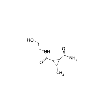 CC1C(C(N)=O)C1C(=O)NCCO